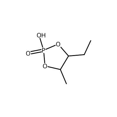 CCC1OP(=O)(O)OC1C